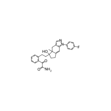 CC12Cc3cnn(-c4ccc(F)cc4)c3C=C1CCC2(O)CCc1ccccc1C(=O)C(N)=O